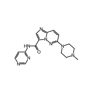 CN1CCN(c2ccc3ncc(C(=O)Nc4ccncn4)n3n2)CC1